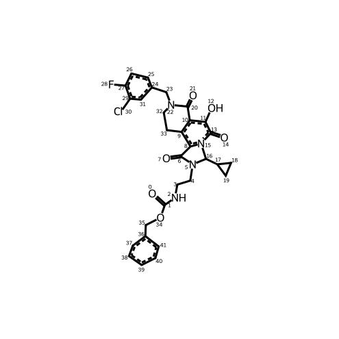 O=C(NCCN1C(=O)c2c3c(c(O)c(=O)n2C1C1CC1)C(=O)N(Cc1ccc(F)c(Cl)c1)CC3)OCc1ccccc1